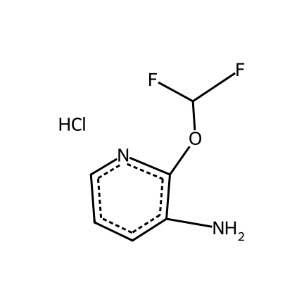 Cl.Nc1cccnc1OC(F)F